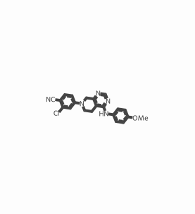 COc1ccc(Nc2ncnc3c2CCN(c2ccc(C#N)c(Cl)c2)C3)cc1